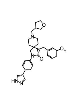 COc1cccc(CN2C(=O)N(c3ccc(-c4cn[nH]c4)cc3)CC23CCN(CC2CCOC2)CC3)c1